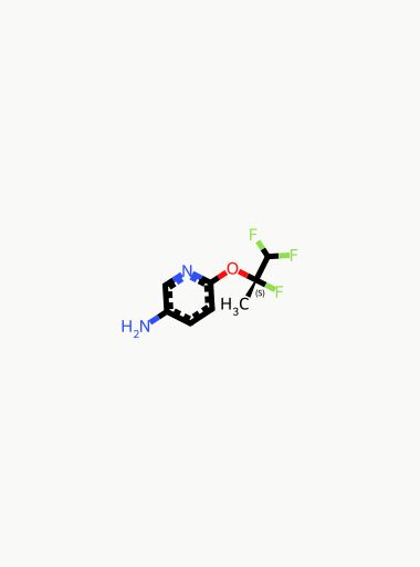 C[C@@](F)(Oc1ccc(N)cn1)C(F)F